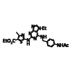 CCOC(=O)c1sc(Nc2nc(NCc3ccc(NC(C)=O)cc3)c3c(ncn3CC)n2)nc1C